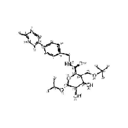 Cc1nnc(-c2ccc(CNC(=O)C3O[C@@H](OC(C)C)[C@H](O)C(O)[C@@H]3COC(C)(C)C)cc2)nn1